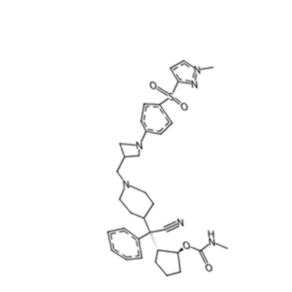 CNC(=O)O[C@H]1CCC[C@@H]1C(C#N)(c1ccccc1)C1CCN(CC2CN(c3ccc(S(=O)(=O)c4ccn(C)n4)cc3)C2)CC1